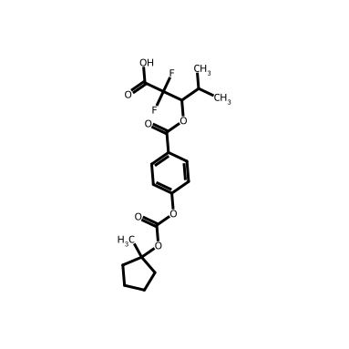 CC(C)C(OC(=O)c1ccc(OC(=O)OC2(C)CCCC2)cc1)C(F)(F)C(=O)O